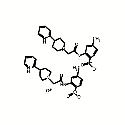 Cc1ccc([N+](=O)[O-])c(NC(=O)CN2CCC(c3cccc[nH+]3)CC2)c1.Cc1ccc([N+](=O)[O-])c(NC(=O)CN2CCC(c3cccc[nH+]3)CC2)c1.[O-2]